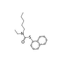 CCCCCN(CC)C(=O)Sc1cccc2ccccc12